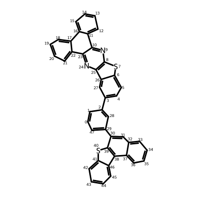 c1cc(-c2ccc3sc4nc5c6ccccc6c6ccccc6c5nc4c3c2)cc(-c2cc3ccccc3c3c2sc2ccccc23)c1